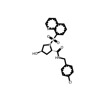 O=C(NCc1ccc(Cl)cc1)[C@@H]1C[C@@H](O)CN1S(=O)(=O)c1cccc2cccnc12